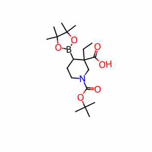 CCC1(C(=O)O)CN(C(=O)OC(C)(C)C)CCC1B1OC(C)(C)C(C)(C)O1